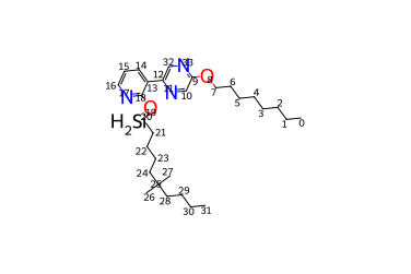 CCCCCCCCOc1cnc(-c2cccnc2O[SiH2]CCCCC(C)(C)CCCC)cn1